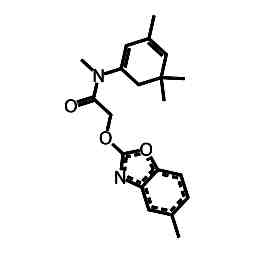 CC1=CC(C)(C)CC(N(C)C(=O)COc2nc3cc(C)ccc3o2)=C1